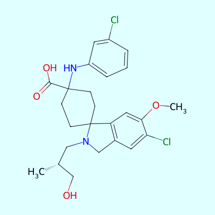 COc1cc2c(cc1Cl)CN(C[C@@H](C)CO)C21CCC(Nc2cccc(Cl)c2)(C(=O)O)CC1